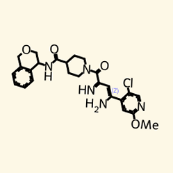 COc1cc(/C(N)=C/C(=N)C(=O)N2CCC(C(=O)NC3COCc4ccccc43)CC2)c(Cl)cn1